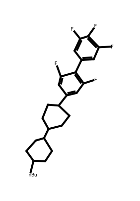 CCCCC1CCC(C2CCC(c3cc(F)c(-c4cc(F)c(F)c(F)c4)c(F)c3)CC2)CC1